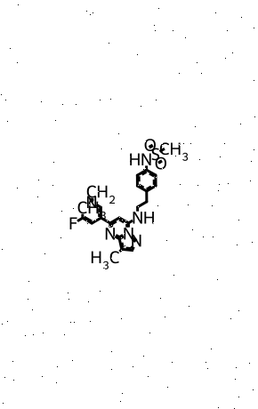 C=N/C=C(\C=C(/C)F)c1cc(NCCc2ccc(NS(C)(=O)=O)cc2)n2ncc(C)c2n1